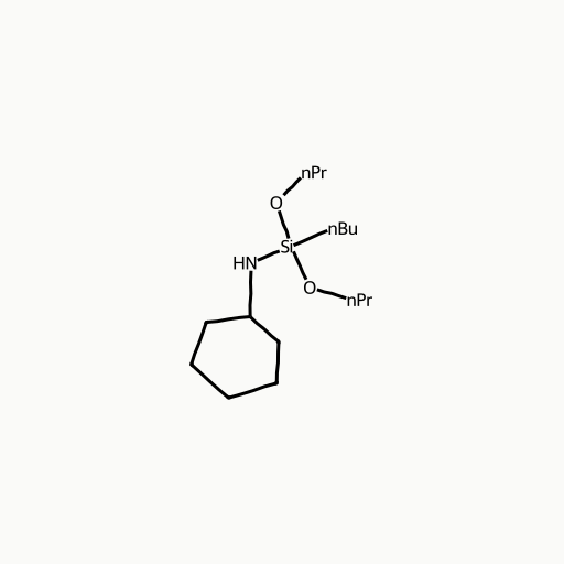 CCCC[Si](NC1CCCCC1)(OCCC)OCCC